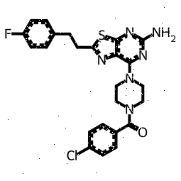 Nc1nc(N2CCN(C(=O)c3ccc(Cl)cc3)CC2)c2nc(CCc3ccc(F)cc3)sc2n1